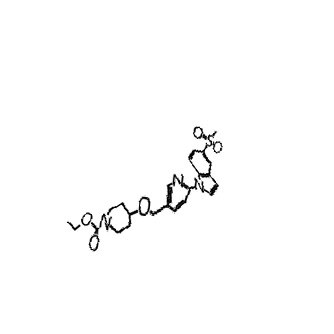 CCOC(=O)N1CCC(OCc2ccc(-n3ccc4cc(S(C)(=O)=O)ccc43)nc2)CC1